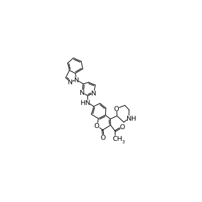 CC(=O)c1c(C2CNCCO2)c2ccc(Nc3nccc(-n4ncc5ccccc54)n3)cc2oc1=O